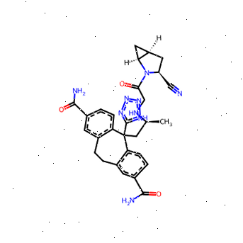 C[C@@H](CC1(c2nnn[nH]2)c2ccc(C(N)=O)cc2CCc2cc(C(N)=O)ccc21)NCC(=O)N1[C@H](C#N)C[C@@H]2C[C@@H]21